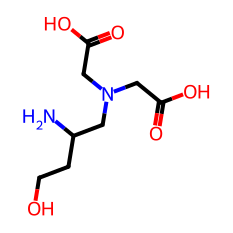 NC(CCO)CN(CC(=O)O)CC(=O)O